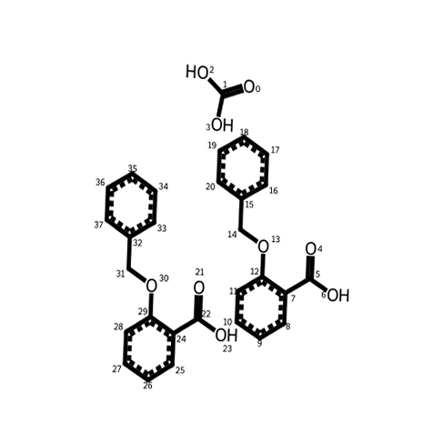 O=C(O)O.O=C(O)c1ccccc1OCc1ccccc1.O=C(O)c1ccccc1OCc1ccccc1